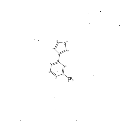 FC(F)(F)c1cccc(-c2c[c]sc2)c1